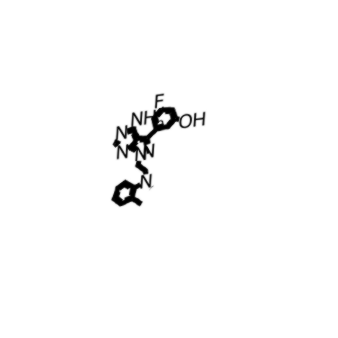 Cc1ccccc1N(C)CCn1nc(-c2cc(O)cc(F)c2)c2c(N)ncnc21